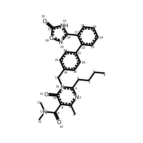 CCCCc1nc(C)c(C(=O)N(C)C)c(=O)n1Cc1ccc(-c2ccccc2-c2noc(=O)[nH]2)cc1